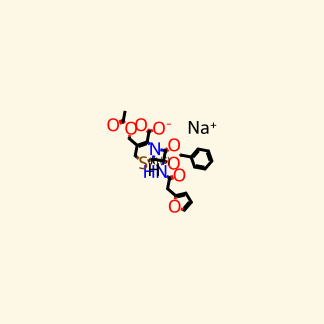 CC(=O)OCC1=C(C(=O)[O-])N2C(=O)[C@](NC(=O)Cc3ccco3)(OCc3ccccc3)[C@H]2SC1.[Na+]